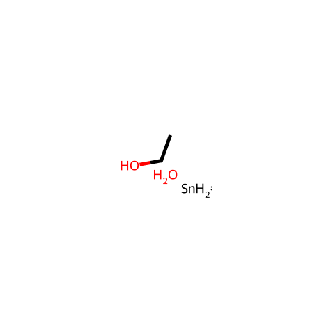 CCO.O.[SnH2]